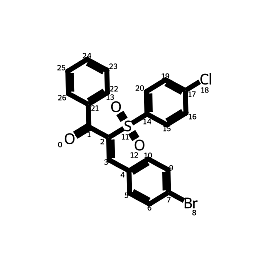 O=C(C(=Cc1ccc(Br)cc1)S(=O)(=O)c1ccc(Cl)cc1)c1ccccc1